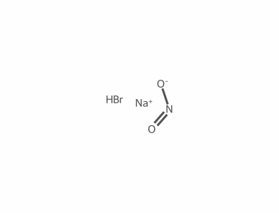 Br.O=N[O-].[Na+]